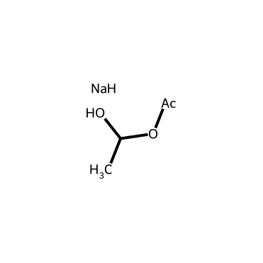 CC(=O)OC(C)O.[NaH]